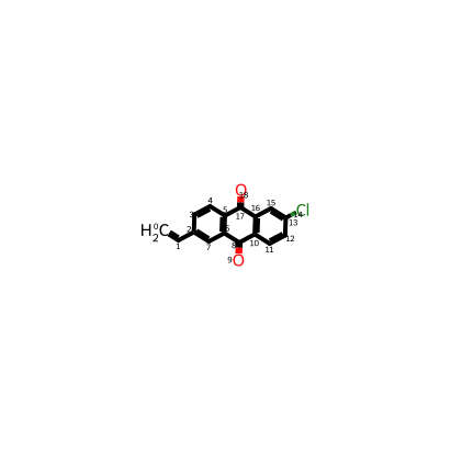 C=Cc1ccc2c(c1)C(=O)c1ccc(Cl)cc1C2=O